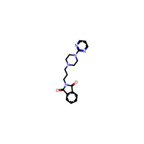 O=C1c2ccccc2C(=O)N1CCCN1CCN(c2ncccn2)CC1